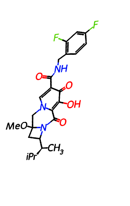 COC12CC([C@@H](C)C(C)C)N1C(=O)c1c(O)c(=O)c(C(=O)NCc3ccc(F)cc3F)cn1C2